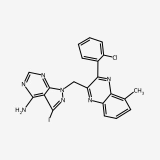 Cc1cccc2nc(Cn3nc(I)c4c(N)ncnc43)c(-c3ccccc3Cl)nc12